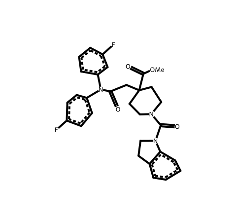 COC(=O)C1(CC(=O)N(c2ccc(F)cc2)c2cccc(F)c2)CCN(C(=O)N2CCc3ccccc32)CC1